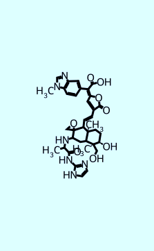 CC(NC1CC2[C@](C)(CC[C@@H](O)[C@@]2(C)CO)C(/C=C/C2=CC(=C(/C(=O)O)c3ccc4c(c3)ncn4C)/OC2=O)C12CO2)C(=O)Nc1ncc[nH]1